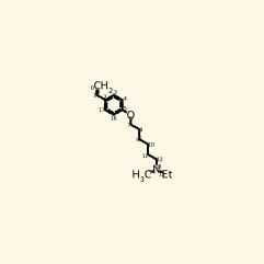 C=Cc1ccc(OCCCCCCN(C)CC)cc1